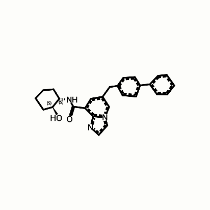 O=C(N[C@H]1CCCC[C@@H]1O)c1cc(Cc2ccc(-c3ccccc3)cc2)cn2ccnc12